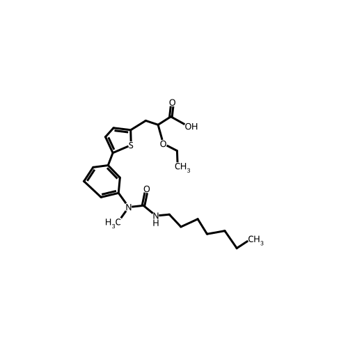 CCCCCCCNC(=O)N(C)c1cccc(-c2ccc(CC(OCC)C(=O)O)s2)c1